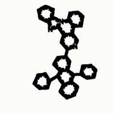 c1ccc(-c2c3ccccc3c(-c3ccccc3)c3cc(-c4cc5c(cn4)c4ccccc4n4c6ccccc6nc54)ccc23)cc1